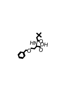 CC(C)(C)CC(=O)NC(CCOCc1ccccc1)C(=O)O